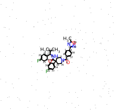 Cc1nc(-c2ccc(C(=O)N3CCC(C(=O)NC(C4=CC=C(F)CC4)C(C)C)(c4ccc(F)cc4)CC3)cc2)no1